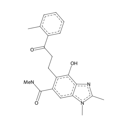 CNC(=O)c1cc2c(nc(C)n2C)c(O)c1CCC(=O)c1ccccc1C